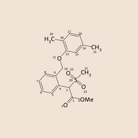 COC(=O)C(c1ccccc1COc1cc(C)ccc1C)S(C)(=O)=O